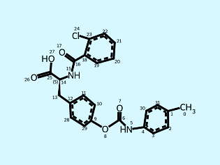 Cc1ccc(NC(=O)Oc2ccc(C[C@H](NC(=O)c3ccccc3Cl)C(=O)O)cc2)cc1